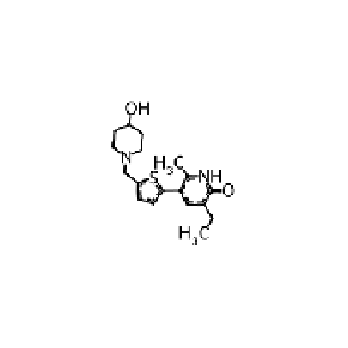 CCc1cc(-c2ccc(CN3CCC(O)CC3)s2)c(C)[nH]c1=O